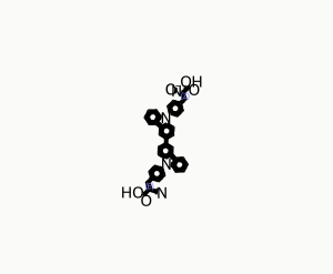 [C-]#[N+]/C(=C\c1ccc(-n2c3ccccc3c3cc(-c4ccc5c(c4)c4ccccc4n5-c4ccc(/C=C(\C#N)C(=O)O)cc4)ccc32)cc1)C(=O)O